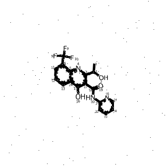 CC(O)c1nc2c(C(F)(F)F)cccc2c(O)c1C(=O)Nc1ccccn1